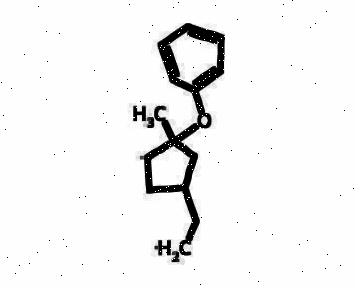 [CH2]CC1C[CH]C(C)(Oc2ccccc2)C1